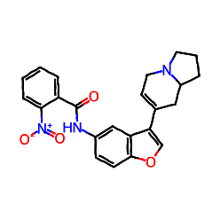 O=C(Nc1ccc2occ(C3=CCN4CCCC4C3)c2c1)c1ccccc1[N+](=O)[O-]